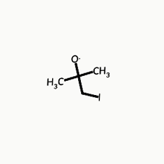 CC(C)([O])CI